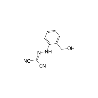 N#CC(C#N)=NNc1ccccc1CO